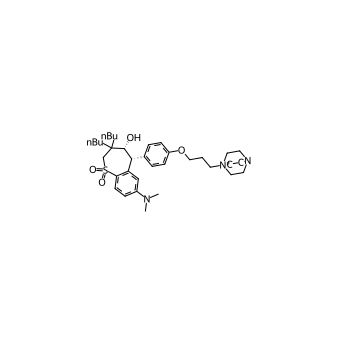 CCCCC1(CCCC)CS(=O)(=O)c2ccc(N(C)C)cc2[C@@H](c2ccc(OCCC[N+]34CCN(CC3)CC4)cc2)[C@H]1O